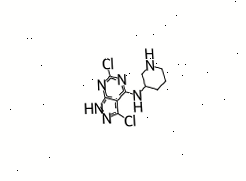 Clc1nc(NC2CCCNC2)c2c(Cl)n[nH]c2n1